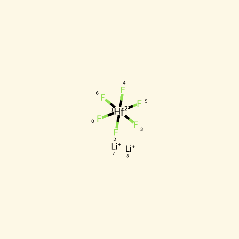 [F][Hf-2]([F])([F])([F])([F])[F].[Li+].[Li+]